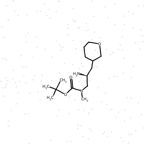 CN(C[C@@H](N)CC1CCCOC1)C(=O)OC(C)(C)C